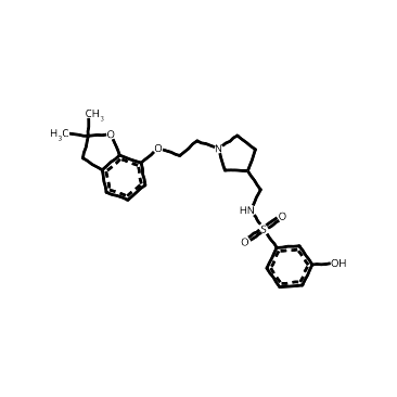 CC1(C)Cc2cccc(OCCN3CCC(CNS(=O)(=O)c4cccc(O)c4)C3)c2O1